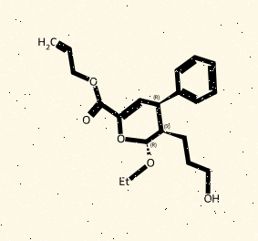 C=CCOC(=O)C1=C[C@@H](c2ccccc2)[C@@H](CCCO)[C@H](OCC)O1